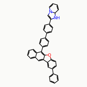 C1=CC2NC(c3ccc(-c4ccc(-c5c6ccccc6cc6c5oc5ccc(-c7ccccc7)cc56)cc4)cc3)=CN2C=C1